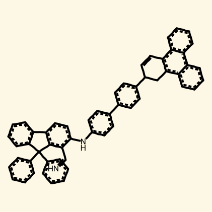 N=Cc1c(Nc2ccc(-c3ccc(C4C=Cc5c(c6ccccc6c6ccccc56)C4)cc3)cc2)ccc2c1C(c1ccccc1)(c1ccccc1)c1ccccc1-2